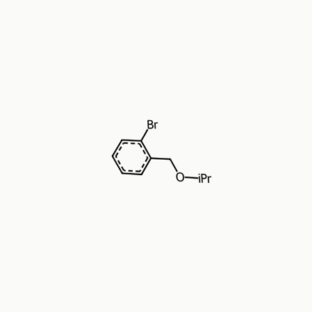 CC(C)OCc1ccccc1Br